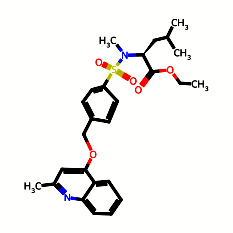 CCOC(=O)[C@H](CC(C)C)N(C)S(=O)(=O)c1ccc(COc2cc(C)nc3ccccc23)cc1